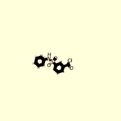 O=C(Cl)c1cccc(S(=O)(=O)Nc2ccccc2)c1